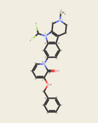 CN1CCc2c(n(C(F)F)c3cc(-n4cccc(OCc5ccccc5)c4=O)ccc23)C1